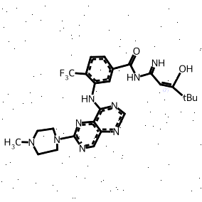 CN1CCN(c2ncc3ncnc(Nc4cc(C(=O)NC(=N)/C=C(\O)C(C)(C)C)ccc4C(F)(F)F)c3n2)CC1